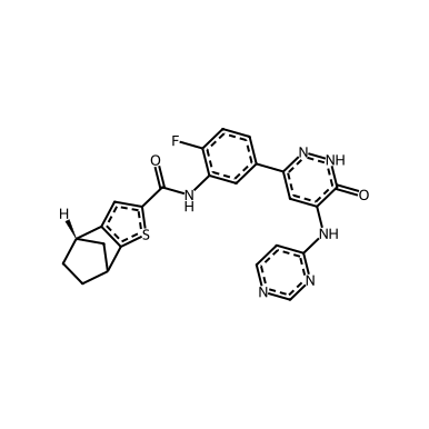 O=C(Nc1cc(-c2cc(Nc3ccncn3)c(=O)[nH]n2)ccc1F)c1cc2c(s1)C1CC[C@H]2C1